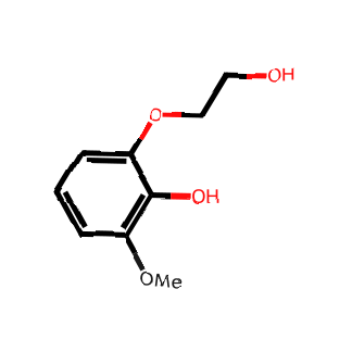 COc1cccc(OCCO)c1O